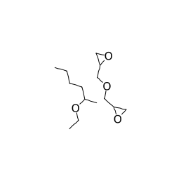 C(OCC1CO1)C1CO1.CCCCC(C)OCC